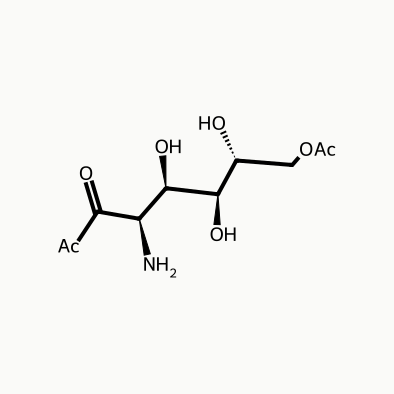 CC(=O)OC[C@@H](O)[C@@H](O)[C@H](O)[C@@H](N)C(=O)C(C)=O